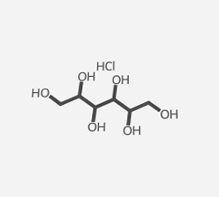 Cl.OCC(O)C(O)C(O)C(O)CO